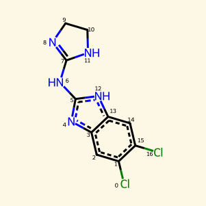 Clc1cc2nc(NC3=NCCN3)[nH]c2cc1Cl